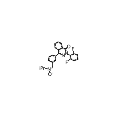 CC(C)/[N+]([O-])=C\c1cccc(-c2nn(-c3c(F)cccc3F)c(=O)c3ccccc23)c1